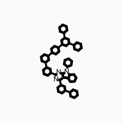 c1ccc(-c2cc(-c3ccccc3)cc(-c3ccc(-c4cccc(-c5cccc(-c6nc(-c7cccc(-c8ccccc8)c7)c7c8ccccc8n(-c8ccccc8)c7n6)c5)c4)cc3)c2)cc1